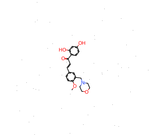 COc1ccc(/C=C/C(=O)c2ccc(O)cc2O)cc1CN1CCOCC1